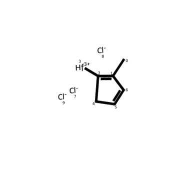 CC1=[C]([Hf+3])CC=C1.[Cl-].[Cl-].[Cl-]